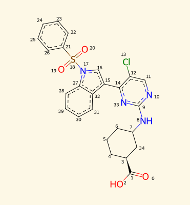 O=C(O)[C@H]1CCCC(Nc2ncc(Cl)c(-c3cn(S(=O)(=O)c4ccccc4)c4ccccc34)n2)C1